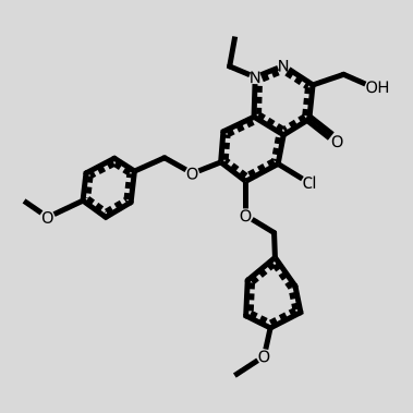 CCn1nc(CO)c(=O)c2c(Cl)c(OCc3ccc(OC)cc3)c(OCc3ccc(OC)cc3)cc21